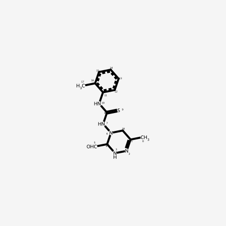 CC1=NNC(C=O)N(NC(=S)Nc2ccccc2C)C1